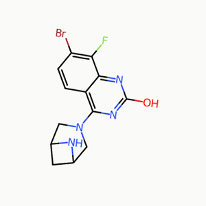 Oc1nc(N2CC3CC(C2)N3)c2ccc(Br)c(F)c2n1